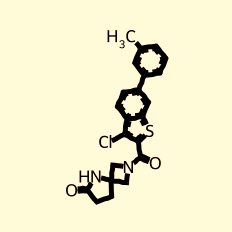 Cc1cccc(-c2ccc3c(Cl)c(C(=O)N4CC5(CCC(=O)N5)C4)sc3c2)c1